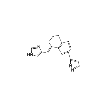 Cn1nccc1-c1ccc2c(c1)/C(=C/c1c[nH]cn1)CCC2